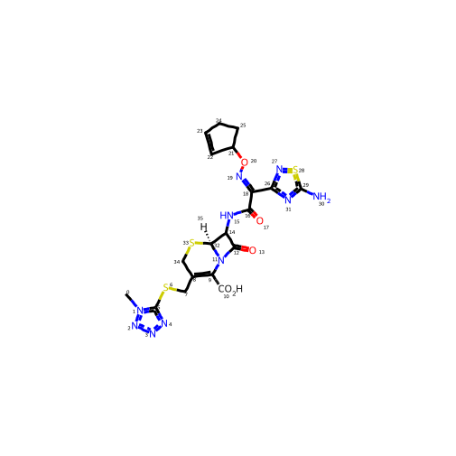 Cn1nnnc1SCC1=C(C(=O)O)N2C(=O)C(NC(=O)C(=NOC3C=CCC3)c3nsc(N)n3)[C@@H]2SC1